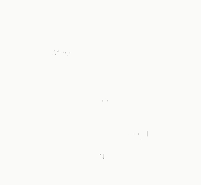 COc1ccccc1COc1c(C)ccnc1C(=O)O